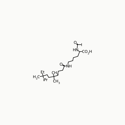 CCC(C)(CCC(C)(C)CCCC(=O)NCCCCC(NC(=O)I)C(=O)O)C(C)C